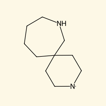 C1CCC2(CC[N]CC2)CNC1